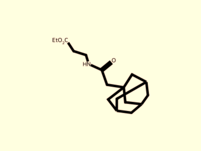 CCOC(=O)CCNC(=O)CC12CC3CC(CC(C3)C1)C2